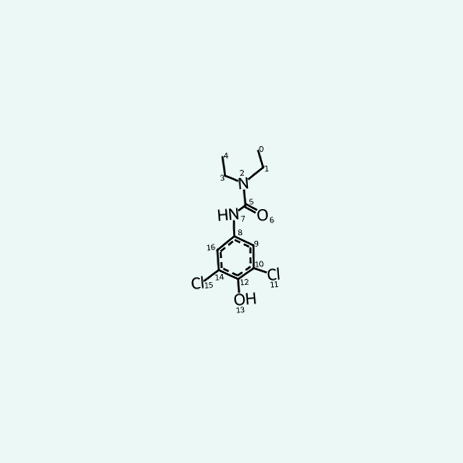 CCN(CC)C(=O)Nc1cc(Cl)c(O)c(Cl)c1